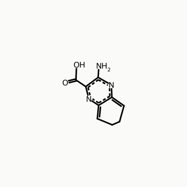 Nc1nc2c(nc1C(=O)O)=CCCC=2